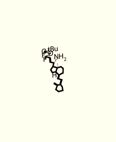 C=C1CCCC/C1=C/C=C1\CCC[C@]2(C)C([C@H](/C=C/C(F)(F)S(=O)(=O)C(C)(C)C)CN)CC[C@@H]12